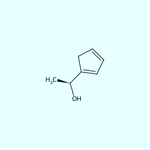 C[C@H](O)C1=CC=CC1